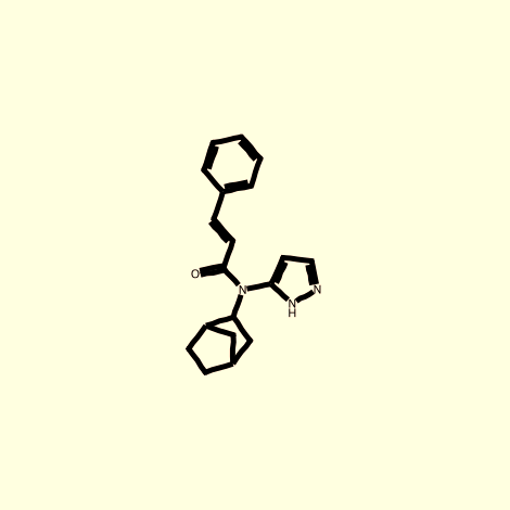 O=C(C=Cc1ccccc1)N(c1ccn[nH]1)C1CC2CCC1C2